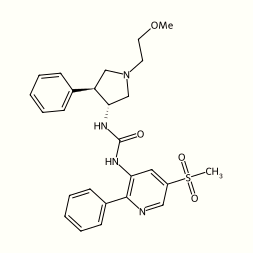 COCCN1C[C@H](NC(=O)Nc2cc(S(C)(=O)=O)cnc2-c2ccccc2)[C@@H](c2ccccc2)C1